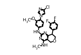 CNc1nc(Nc2ccc(-n3cnc(Cl)c3)c(OC)c2)nc2c1COCC2c1ccc(F)c(F)c1